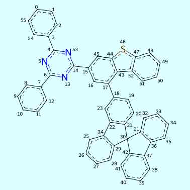 c1ccc(-c2nc(-c3ccccc3)nc(-c3cc(-c4ccc5c(c4)-c4ccccc4C54c5ccccc5-c5ccccc54)c4c(c3)sc3ccccc34)n2)cc1